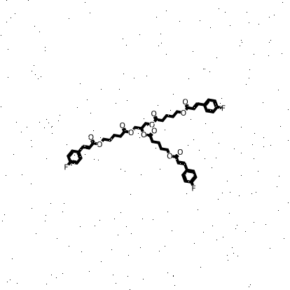 O=C(C=Cc1ccc(F)cc1)OCCCCC(=O)OCC(COC(=O)CCCCOC(=O)C=Cc1ccc(F)cc1)OC(=O)CCCCOC(=O)C=Cc1ccc(F)cc1